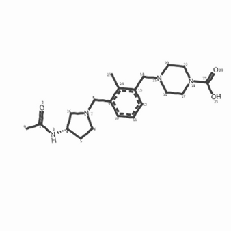 CC(=O)N[C@H]1CCN(Cc2cccc(CN3CCN(C(=O)O)CC3)c2C)C1